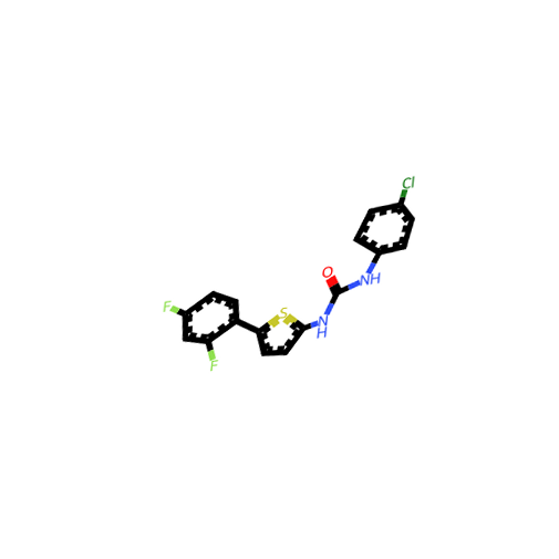 O=C(Nc1ccc(Cl)cc1)Nc1ccc(-c2ccc(F)cc2F)s1